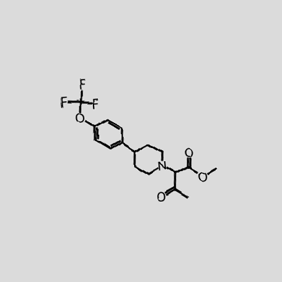 COC(=O)C(C(C)=O)N1CCC(c2ccc(OC(F)(F)F)cc2)CC1